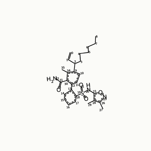 C=CC(CCCCCC)c1ccc(-c2ccccc2S(=O)(=O)Nc2onc(C)c2C)c(C(N)=O)c1C